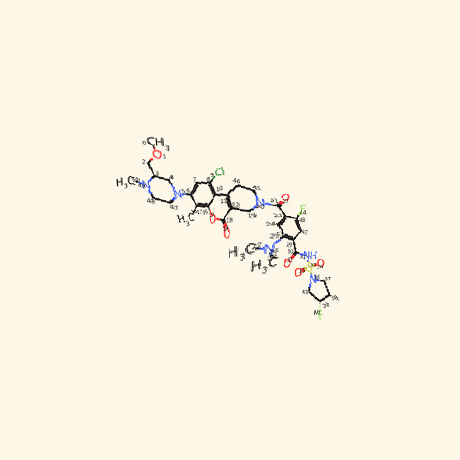 COC[C@H]1CN(c2cc(Cl)c3c4c(c(=O)oc3c2C)CN(C(=O)c2cc(N(C)C)c(C(=O)NS(=O)(=O)N3CC[C@H](F)C3)cc2F)CC4)CCN1C